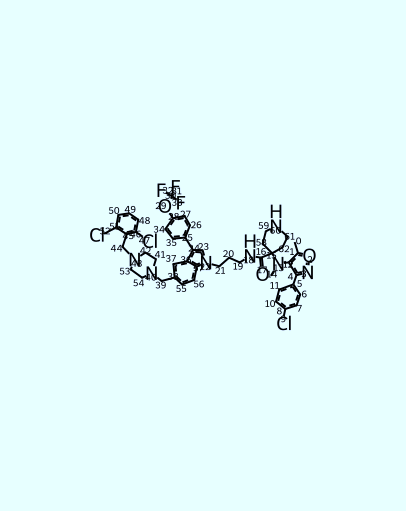 Cc1onc(-c2ccc(Cl)cc2)c1N(C)C1(C(=O)NCCCn2cc(-c3ccc(OC(F)(F)F)cc3)c3cc(CN4CCN(Cc5c(Cl)cccc5Cl)CC4)ccc32)CCNCC1